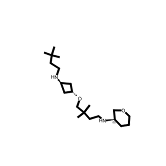 CC(C)(C)CCN[C@H]1C[C@H](OCC(C)(C)CCN[C@@H]2CCCOC2)C1